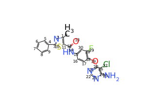 Cc1nc(-c2ccccc2)sc1C(=O)Nc1ccc(Oc2ncnc(N)c2Cl)c(F)c1